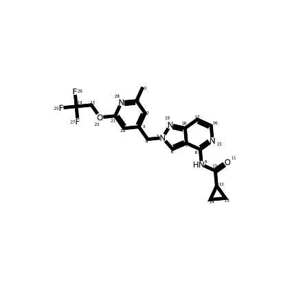 Cc1cc(Cn2cc3c(NC(=O)C4CC4)nccc3n2)cc(OCC(F)(F)F)n1